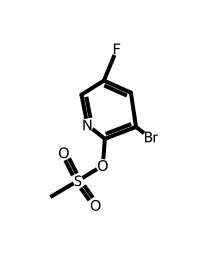 CS(=O)(=O)Oc1ncc(F)cc1Br